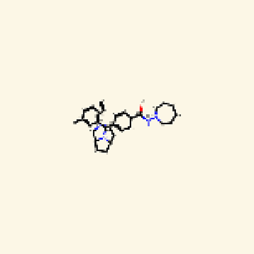 C=CCN1CCC2CCC(C1)N2C(C1=CCC(C(=O)NN2CCCCCC2)C=C1)c1cccc(C)c1